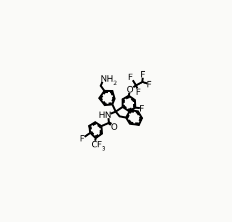 NCc1ccc(C(Cc2ccccc2)(NC(=O)c2ccc(F)c(C(F)(F)F)c2)c2cc(F)cc(OC(F)(F)C(F)F)c2)cc1